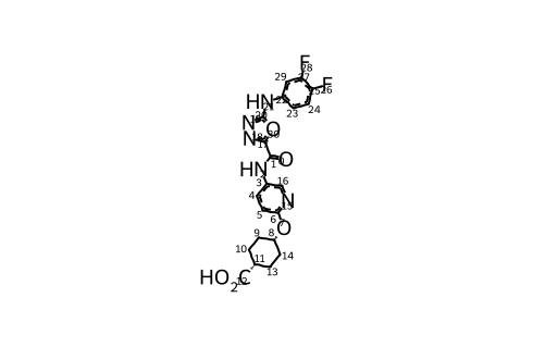 O=C(Nc1ccc(O[C@H]2CC[C@@H](C(=O)O)CC2)nc1)c1nnc(Nc2ccc(F)c(F)c2)o1